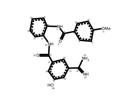 COc1ccc(C(=O)Nc2ccccc2NC(=O)c2cccc(C(=N)N)c2)cc1.Cl